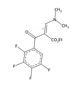 CCOC(=O)/C(=C\N(C)C)C(=O)c1cc(F)c(F)c(F)c1F